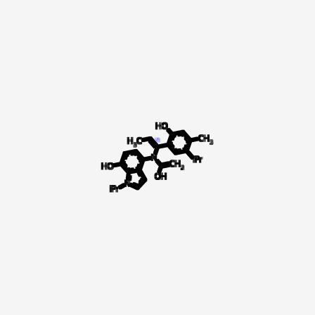 C=C(O)N(/C(=C\C)c1cc(C(C)C)c(C)cc1O)c1ccc(O)c2c1ccn2C(C)C